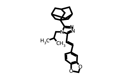 CC(C)Cn1c(C=Cc2ccc3c(c2)OCO3)nnc1C12CC3CC(CC(C3)C1)C2